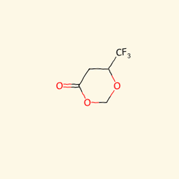 O=C1CC(C(F)(F)F)OCO1